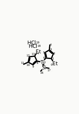 CCC1C=C(C)C=[C]1[Ti]([C]1=CC(C)=CC1CC)=[Si](C)C.Cl.Cl